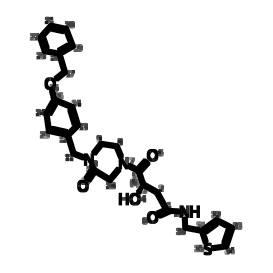 O=C(C[C@@H](O)C(=O)N1CCN(Cc2ccc(OCc3ccccc3)cc2)C(=O)C1)NCc1cccs1